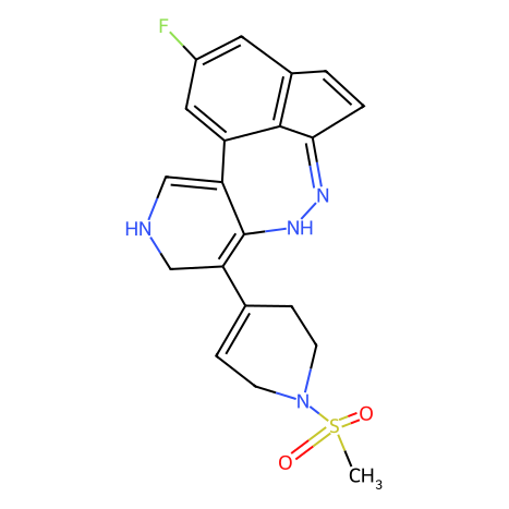 CS(=O)(=O)N1CC=C(C2=C3NN=C4C=Cc5cc(F)cc(c54)C3=CNC2)CC1